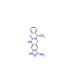 CC(c1ccccc1)N1Cc2cc3c(N)n[nH]c3cc2NC1=O